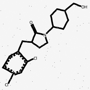 O=C1C(Cc2ccc(Cl)cc2Cl)CCN1C1CCC(CO)CC1